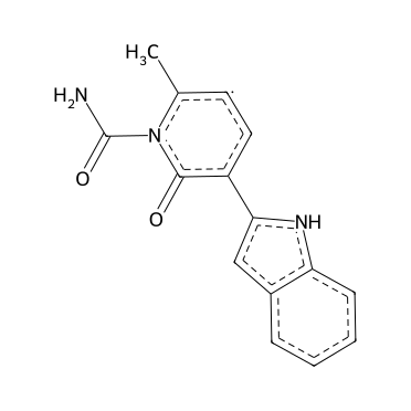 Cc1[c]cc(-c2cc3ccccc3[nH]2)c(=O)n1C(N)=O